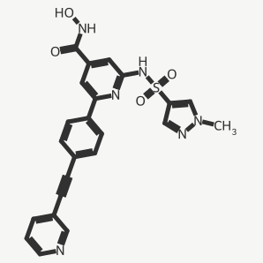 Cn1cc(S(=O)(=O)Nc2cc(C(=O)NO)cc(-c3ccc(C#Cc4cccnc4)cc3)n2)cn1